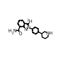 [2H]c1c2cccc(C(N)=O)c2nn1-c1ccc(C2CCCNC2)cc1